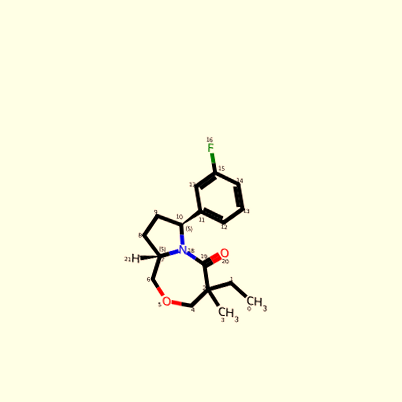 CCC1(C)COC[C@@H]2CC[C@@H](c3cccc(F)c3)N2C1=O